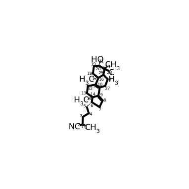 CC(C#N)CCC[C@H]1CC=C2C3=C(CC[C@@]21C)[C@@]1(C)CC[C@H](O)C(C)(C)C1CC3